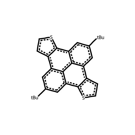 CC(C)(C)c1cc2c3ccsc3c3cc(C(C)(C)C)cc4c5ccsc5c(c1)c2c43